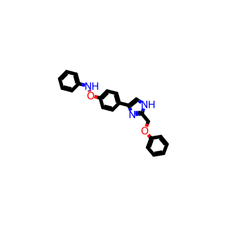 c1ccc(NOc2ccc(-c3c[nH]c(COc4ccccc4)n3)cc2)cc1